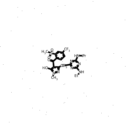 CCNc1nc(Cl)nc(NC(C)C)n1.Cc1nn(C)c(O)c1C(=O)c1ccc(C(F)(F)F)cc1S(C)(=O)=O